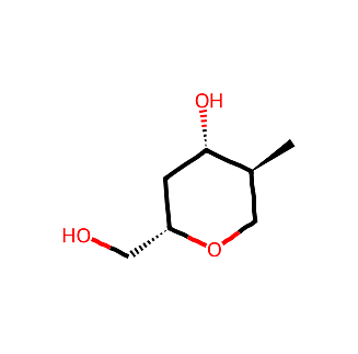 C[C@H]1CO[C@H](CO)C[C@@H]1O